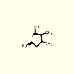 C=CC[C](C)C(C)C(=O)O